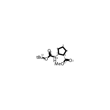 COC(=O)[C@H]1CCC[C@H]1NC(=O)OC(C)(C)C